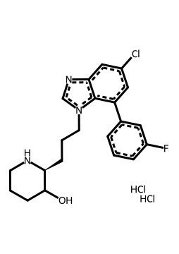 Cl.Cl.OC1CCCN[C@H]1CCCn1cnc2cc(Cl)cc(-c3cccc(F)c3)c21